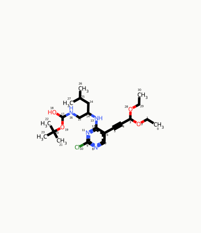 CCOC(C#Cc1cnc(Cl)nc1NC(CNC(O)OC(C)(C)C)CC(C)C)OCC